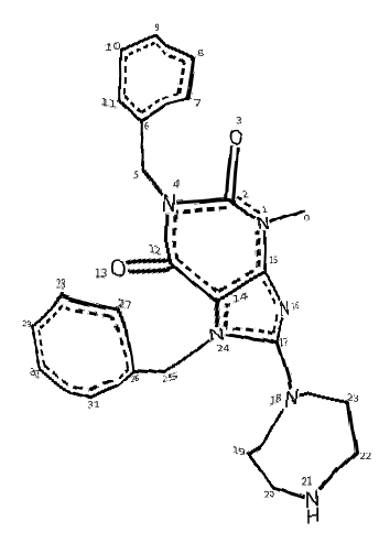 Cn1c(=O)n(Cc2ccccc2)c(=O)c2c1nc(N1CCNCC1)n2Cc1ccccc1